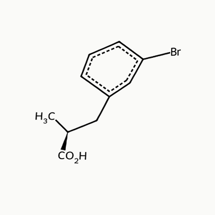 C[C@@H](Cc1cccc(Br)c1)C(=O)O